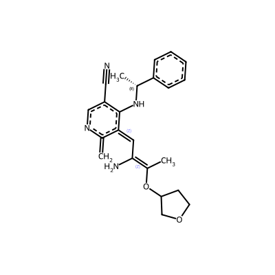 C=c1ncc(C#N)c(N[C@H](C)c2ccccc2)/c1=C/C(N)=C(\C)OC1CCOC1